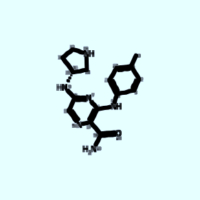 Cc1ccc(Nc2nc(N[C@@H]3CCNC3)cnc2C(N)=O)cc1